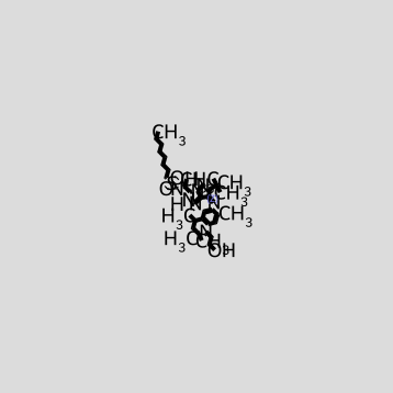 CCCCCCCCS(=O)(=O)NC(C)c1nnc2n1N=C(C(C)(C)C)/C2=N/c1cc2c(cc1C)N(CCO)C(C)(C)CC2C